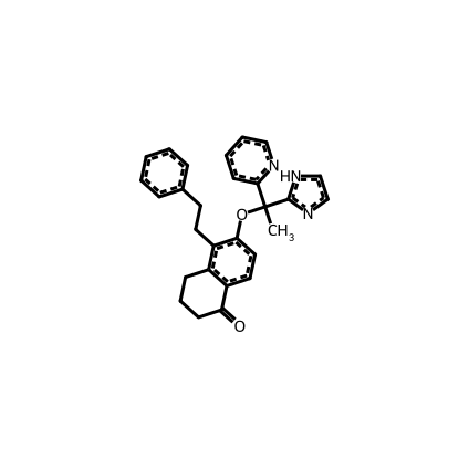 CC(Oc1ccc2c(c1CCc1ccccc1)CCCC2=O)(c1ccccn1)c1ncc[nH]1